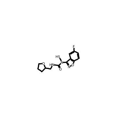 O=C(NCC1CCCO1)N(S)c1noc2ccc(F)cc12